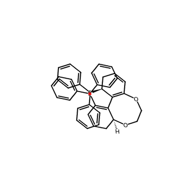 C1=CC(P(c2ccccc2)c2ccccc2)=C2C3=C(C=CC[C@@H]3P(c3ccccc3)c3ccccc3)OCCO[C@H]2C1